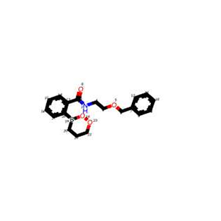 O=C(NCCOCc1ccccc1)c1ccccc1B1CCCOO1